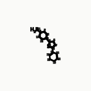 Bc1ccc(-c2ccc(C3=CCCC=C3)s2)cc1